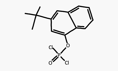 CC(C)(C)c1cc(OP(=O)(Cl)Cl)c2ccccc2c1